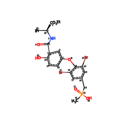 CCOC(=O)[C@@H](NC(=O)c1cc(Oc2c(Br)cc(CP(C)(=O)O)cc2Br)ccc1O)C(C)C